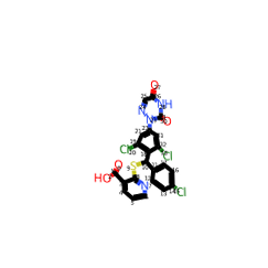 O=C(O)c1cccnc1SC(c1ccc(Cl)cc1)c1c(Cl)cc(-n2ncc(=O)[nH]c2=O)cc1Cl